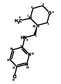 CN1CCOC[C@H]1CNc1ccc(Cl)nn1